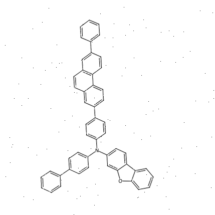 c1ccc(-c2ccc(N(c3ccc(-c4ccc5c(ccc6cc(-c7ccccc7)ccc65)c4)cc3)c3ccc4c(c3)oc3ccccc34)cc2)cc1